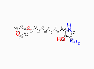 N[C@H]1CN[C@H](CCCCCCCCCCOC2CCOCC2)[C@H]1O